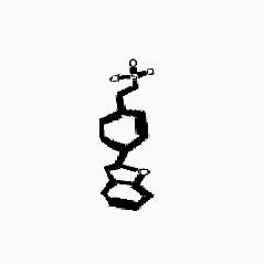 O=S(=O)(Cl)C=Cc1ccc(-c2cc3ccccc3o2)cc1